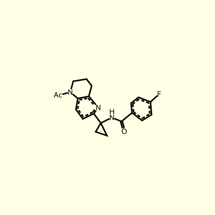 CC(=O)N1CCCc2nc(C3(NC(=O)c4ccc(F)cc4)CC3)ccc21